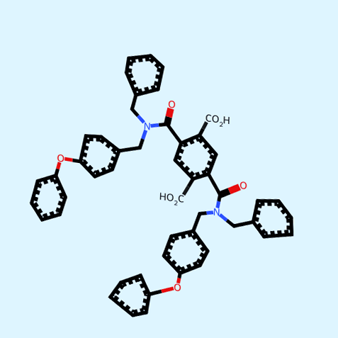 O=C(O)c1cc(C(=O)N(Cc2ccccc2)Cc2ccc(Oc3ccccc3)cc2)c(C(=O)O)cc1C(=O)N(Cc1ccccc1)Cc1ccc(Oc2ccccc2)cc1